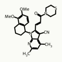 COc1ccc2c(c1OC)CCCC2n1c(C=CC(=O)N2CCSCC2)c(C#N)c2c(C)cc(C)nc21